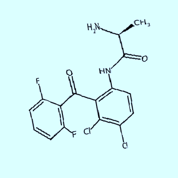 C[C@H](N)C(=O)Nc1ccc(Cl)c(Cl)c1C(=O)c1c(F)cccc1F